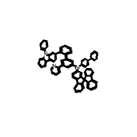 c1ccc(-c2ccc(N(c3cc(-c4ccccn4)cc(-c4ccccc4-c4ccc5c6ccccc6n(-c6ccccc6)c5c4)c3)c3ccc4c(c3)C3(c5ccccc5-c5ccccc53)c3ccccc3-4)cc2)cc1